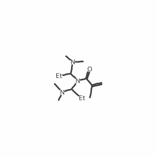 C=C(C)C(=O)N(C(CC)N(C)C)C(CC)N(C)C